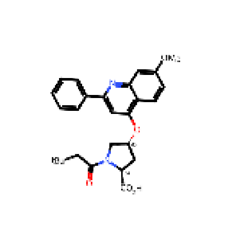 COc1ccc2c(O[C@@H]3C[C@@H](C(=O)O)N(C(=O)CC(C)(C)C)C3)cc(-c3ccccc3)nc2c1